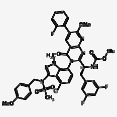 COc1ccc(CN(c2nn(C)c3c(-n4c([C@H](Cc5cc(F)cc(F)c5)NC(=O)OC(C)(C)C)nc5nc(OC)c(-c6ccccc6F)cc5c4=O)ccc(Cl)c23)S(C)(=O)=O)cc1